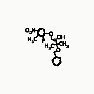 Cc1c([N+](=O)[O-])ccc(OC[C@H](O)C(C)(C)OCc2ccccc2)c1F